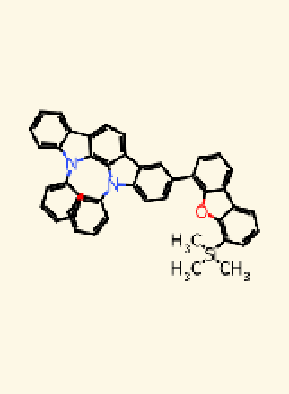 C[Si](C)(C)c1cccc2c1oc1c(-c3ccc4c(c3)c3ccc5c6ccccc6n(-c6ccccc6)c5c3n4-c3ccccc3)cccc12